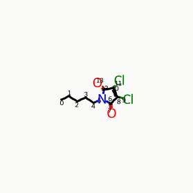 CCCCCN1C(=O)C(Cl)=C(Cl)C1=O